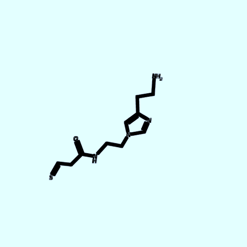 NCCc1cn(CCNC(=O)CC=S)cn1